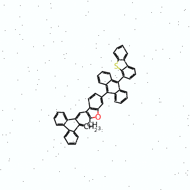 C=c1/c(=C\c2c(C)oc3cc(-c4c5ccccc5c(-c5cccc6c5sc5ccccc56)c5ccccc45)ccc23)c2ccccc2c2ccccc12